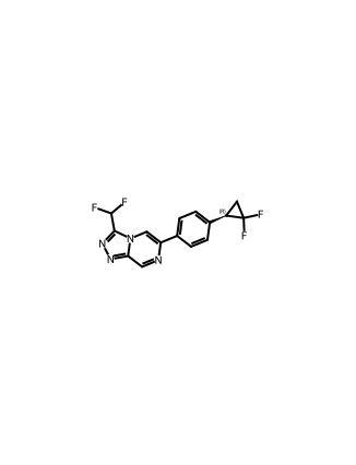 FC(F)c1nnc2cnc(-c3ccc([C@H]4CC4(F)F)cc3)cn12